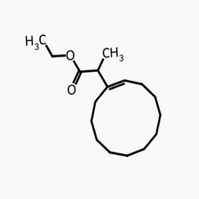 CCOC(=O)C(C)C1=CCCCCCCCCCC1